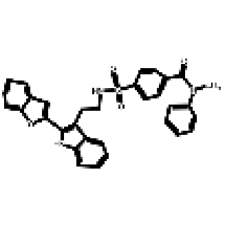 CN(C(=O)c1ccc(S(=O)(=O)NCCc2c(-c3cc4ccccc4o3)[nH]c3ccccc23)cc1)c1ccccc1